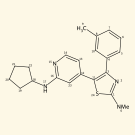 CNc1nc(-c2cccc(C)c2)c(-c2ccnc(NC3CCCC3)c2)s1